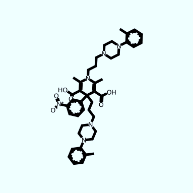 CC1=C(C(=O)O)C(CCCN2CCN(c3ccccc3C)CC2)(c2cccc([N+](=O)[O-])c2)C(C(=O)O)=C(C)N1CCCN1CCN(c2ccccc2C)CC1